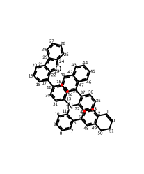 C1=Cc2ccc(-c3ccccc3N(c3ccc(-c4cccc5c4oc4ccccc45)cc3)c3ccccc3-c3cccc4ccccc34)cc2CC1